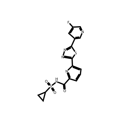 O=C(NS(=O)(=O)C1CC1)c1cccc(-c2nnc(-c3cncc(F)c3)s2)n1